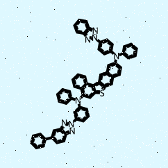 c1ccc(-c2ccc3nn(-c4cccc(N(c5ccccc5)c5cc6sc7cc8ccc(N(c9ccccc9)c9ccc(-n%10nc%11ccccc%11n%10)cc9)cc8cc7c6c6ccccc56)c4)nc3c2)cc1